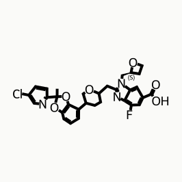 CC1(c2ccc(Cl)cn2)Oc2cccc(C3CCC(Cc4nc5c(F)cc(C(=O)O)cc5n4C[C@@H]4CCO4)OC3)c2O1